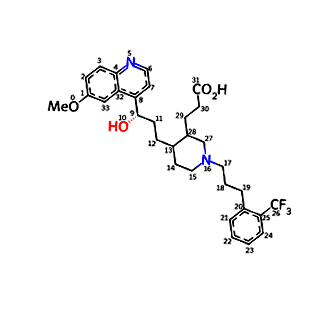 COc1ccc2nccc([C@@H](O)CCC3CCN(CCCc4ccccc4C(F)(F)F)CC3CCC(=O)O)c2c1